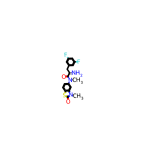 CN(C(=O)[C@@H](N)Cc1cc(F)cc(F)c1)c1ccc2sc(=O)n(C)c2c1